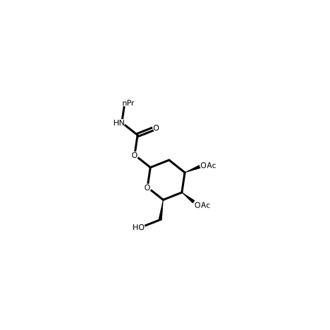 CCCNC(=O)OC1C[C@@H](OC(C)=O)[C@@H](OC(C)=O)[C@@H](CO)O1